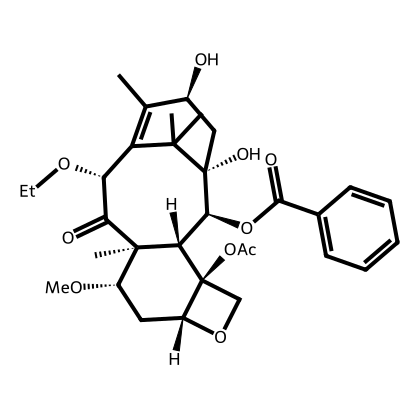 CCO[C@H]1C(=O)[C@]2(C)[C@@H](OC)C[C@H]3OC[C@@]3(OC(C)=O)[C@H]2[C@H](OC(=O)c2ccccc2)[C@]2(O)C[C@H](O)C(C)=C1C2(C)C